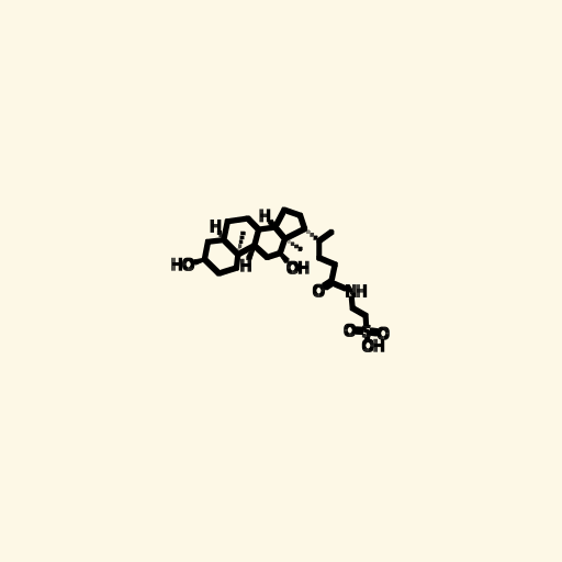 CC(CCC(=O)NCCS(=O)(=O)O)[C@H]1CC[C@H]2C3CC[C@@H]4C[C@H](O)CC[C@]4(C)[C@H]3C[C@H](O)[C@]12C